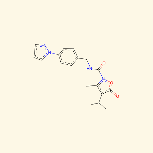 Cc1c(C(C)C)c(=O)on1C(=O)NCc1ccc(-n2cccn2)cc1